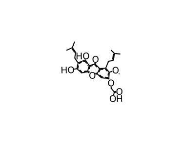 COc1c(OCC(=O)O)cc2oc3cc(O)c(CC=C(C)C)c(O)c3c(=O)c2c1CC=C(C)C